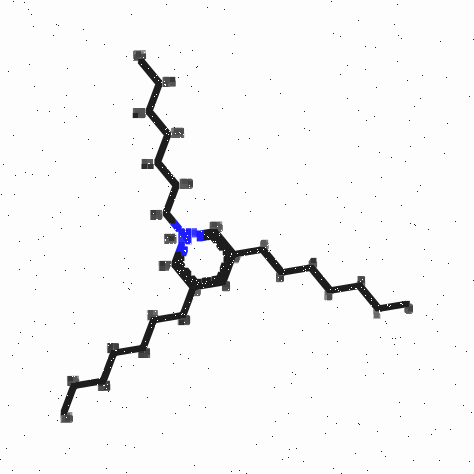 CCCCCCCc1cc(CCCCCCC)c[n+](CCCCCCC)c1